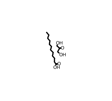 CCCCCCCCCCCC(=O)O.O=C(CO)CO